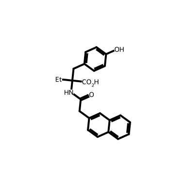 CCC(Cc1ccc(O)cc1)(NC(=O)Cc1ccc2ccccc2c1)C(=O)O